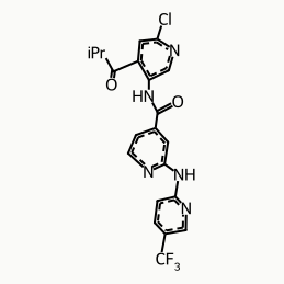 CC(C)C(=O)c1cc(Cl)ncc1NC(=O)c1ccnc(Nc2ccc(C(F)(F)F)cn2)c1